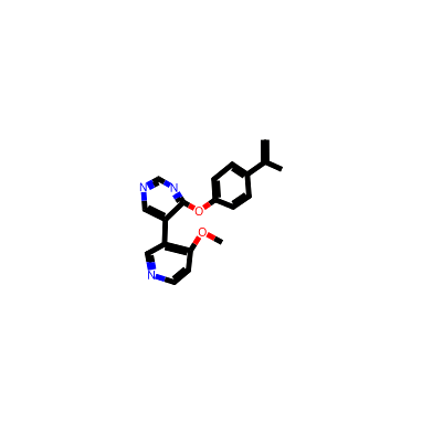 C=C(C)c1ccc(Oc2ncncc2-c2cnccc2OC)cc1